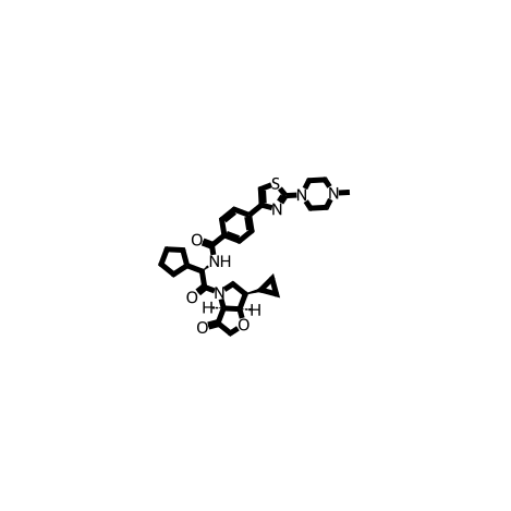 CN1CCN(c2nc(-c3ccc(C(=O)N[C@H](C(=O)N4C[C@@H](C5CC5)[C@H]5OCC(=O)[C@H]54)C4CCCC4)cc3)cs2)CC1